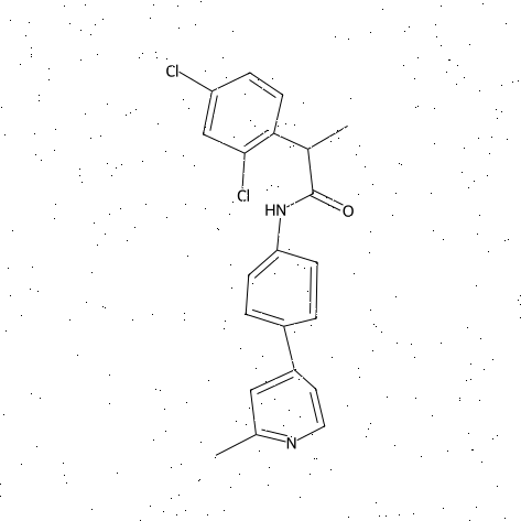 Cc1cc(-c2ccc(NC(=O)C(C)c3ccc(Cl)cc3Cl)cc2)ccn1